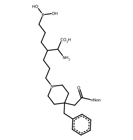 CCCCCCCCCC(=O)CC1(Cc2ccccc2)CCN(CCCC(CCCB(O)O)C(N)C(=O)O)CC1